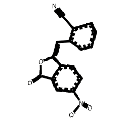 N#Cc1ccccc1/C=C1/OC(=O)c2cc([N+](=O)[O-])ccc21